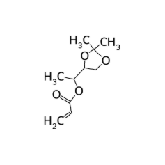 C=CC(=O)OC(C)C1COC(C)(C)O1